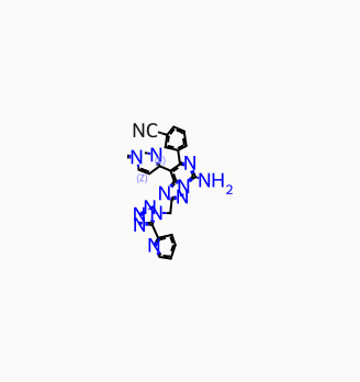 C=N/C=C\C(=N/C)c1c(-c2cccc(C#N)c2)nc(N)n2nc(Cn3nnnc3-c3ccccn3)nc12